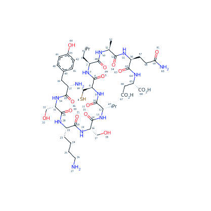 CC(C)C[C@H](NC(=O)[C@H](CS)NC(=O)[C@@H](NC(=O)[C@H](CO)NC(=O)[C@H](CCCCN)NC(=O)[C@H](CO)NC(=O)[C@@H](N)Cc1ccc(O)cc1)C(C)C)C(=O)N[C@@H](C)C(=O)N[C@@H](CCC(N)=O)C(=O)N[C@@H](CC(=O)O)C(=O)O